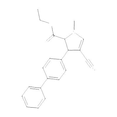 CCOC(=O)C1C(c2ccc(-c3ccccc3)cc2)C(C#N)=CN1C